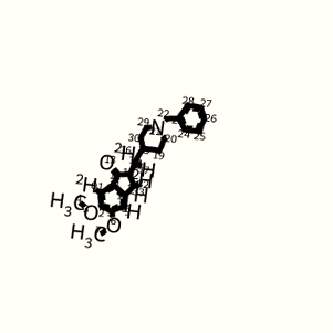 [2H]c1c(OC)c(OC)c([2H])c2c1C(=O)C(C([2H])([2H])C1CCN(Cc3ccccc3)CC1)C2([2H])[2H]